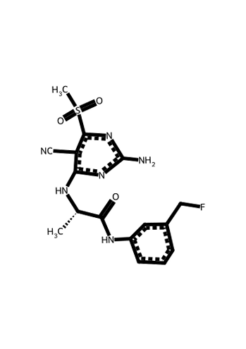 C[C@H](Nc1nc(N)nc(S(C)(=O)=O)c1C#N)C(=O)Nc1cccc(CF)c1